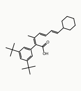 CC(C=CC=CC1CCCCC1)=C(C(=O)O)c1cc(C(C)(C)C)cc(C(C)(C)C)c1